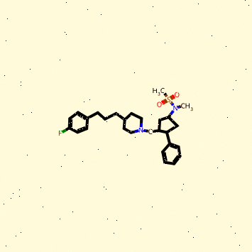 CN(C1CC(CN2CCC(CCCc3ccc(F)cc3)CC2)C(c2ccccc2)C1)S(C)(=O)=O